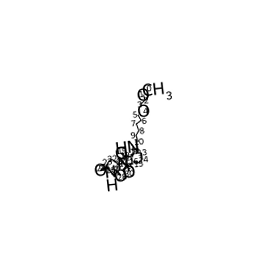 COCCOCCCCCCNc1cccc2c1C(=O)N(C1CCC(=O)NC1=O)C2=O